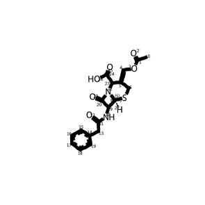 CC(=O)OC=C1CS[C@H]2C(NC(=O)Cc3ccccc3)C(=O)N2C1C(=O)O